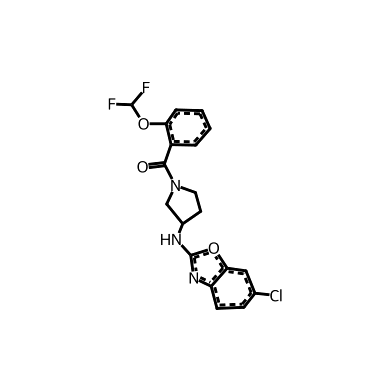 O=C(c1ccccc1OC(F)F)N1CCC(Nc2nc3ccc(Cl)cc3o2)C1